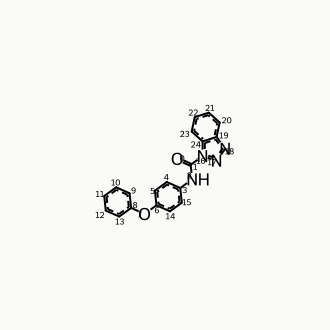 O=C(Nc1ccc(Oc2ccccc2)cc1)n1nnc2ccccc21